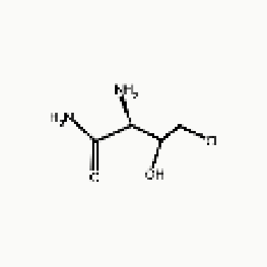 NC(=O)[C@@H](N)C(O)CCl